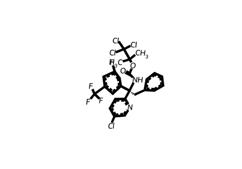 CC(C)(OC(=O)N[C@](Cc1ccccc1)(c1cc(F)cc(C(F)(F)F)c1)c1ccc(Cl)cn1)C(Cl)(Cl)Cl